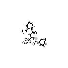 COC(=O)C(CC(=O)c1ccccc1N)NC(=O)c1cccnc1